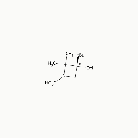 CC(C)(C)[C@@]1(O)CN(C(=O)O)C1(C)C